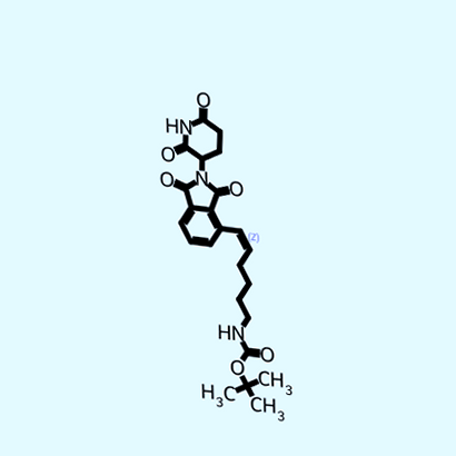 CC(C)(C)OC(=O)NCCCC/C=C\c1cccc2c1C(=O)N(C1CCC(=O)NC1=O)C2=O